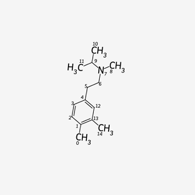 Cc1ccc(CCN(C)C(C)C)cc1C